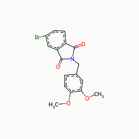 COc1ccc(CN2C(=O)c3ccc(Br)cc3C2=O)cc1OC